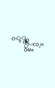 COC1=CCC2C(C1)C(CCC(=O)O)CN2S(=O)(=O)C1=CCCC(C2CCC(Cl)=CC2F)C1